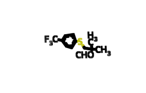 CC(C)(C=O)CSc1ccc(C(F)(F)F)cc1